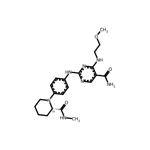 CNC(=O)[C@@H]1CCCCN1c1ccc(Nc2ncc(C(N)=O)c(NCCOC)n2)cc1